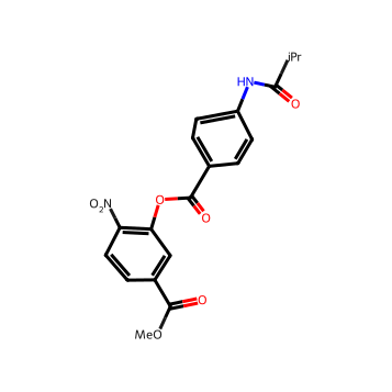 COC(=O)c1ccc([N+](=O)[O-])c(OC(=O)c2ccc(NC(=O)C(C)C)cc2)c1